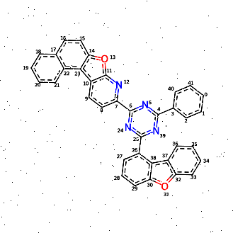 c1ccc(-c2nc(-c3ccc4c(n3)oc3ccc5ccccc5c34)nc(-c3cccc4oc5ccccc5c34)n2)cc1